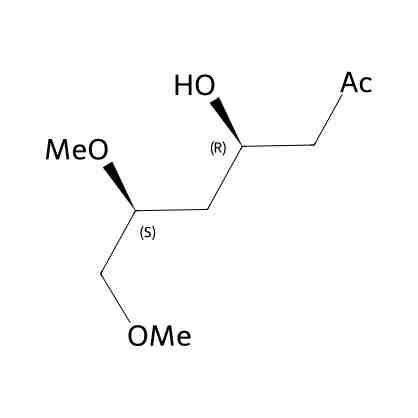 COC[C@H](C[C@@H](O)CC(C)=O)OC